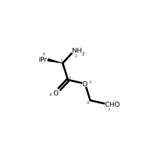 CC(C)[C@@H](N)C(=O)OCC=O